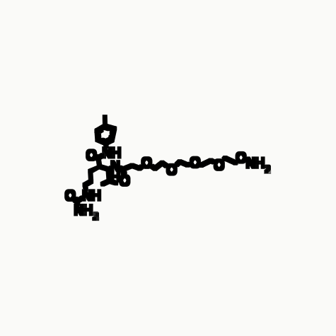 Cc1ccc(NC(=O)[C@H](CCCNC(N)=O)[C@@H](NC(=O)CCOCCOCCOCCOCCON)C(C)C)cc1